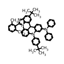 Cc1cccc(C)c1-c1nc2cc(C(C)(C)C)cc3c2n1-c1cccc2c1C3c1ccc(N(c3ccccc3)c3ccccc3)cc1N2c1ccc(C(C)(C)C)cc1